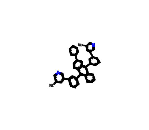 N#Cc1cncc(-c2cccc(-c3c4ccccc4c(-c4cccc(-c5cncc(C#N)c5)c4)c4cc(-c5ccccc5)ccc34)c2)c1